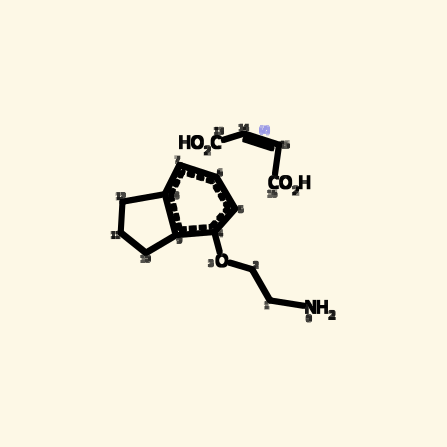 NCCOc1cccc2c1CCC2.O=C(O)/C=C\C(=O)O